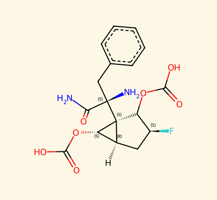 NC(=O)[C@](N)(Cc1ccccc1)[C@@]12C(OC(=O)O)[C@@H](F)C[C@H]1[C@@H]2OC(=O)O